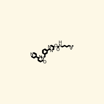 CN(C)CCCCNC(=O)Oc1cnc(-c2cccc(Cn3nc(-c4ccncc4)ccc3=O)c2)nc1